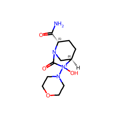 NC(=O)[C@@H]1CC[C@@H]2CN1C(=O)[N+]2(O)N1CCOCC1